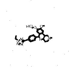 CCn1nnc(-c2ccc(C3=NC4CCN(C)CC4c4cc(OC)c(OC)cc43)cc2)n1.Cl